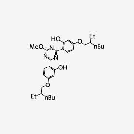 CCCCC(CC)COc1ccc(-c2nc(OC)nc(-c3ccc(OCC(CC)CCCC)cc3O)n2)c(O)c1